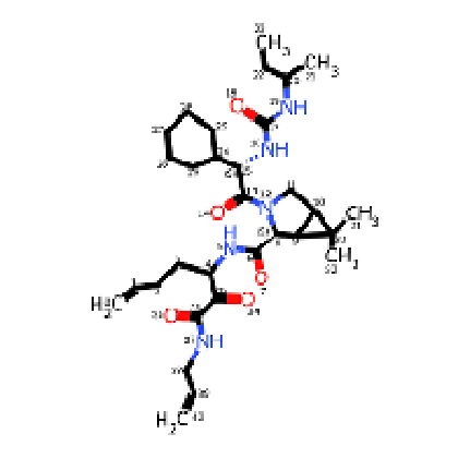 C=CCCC(NC(=O)[C@@H]1C2C(CN1C(=O)[C@@H](NC(=O)NC(C)CC)C1CCCCC1)C2(C)C)C(=O)C(=O)NCC=C